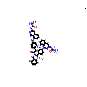 CCNC(=O)Nc1cc2cccc(Nc3ccc(CC(=O)N(Cc4ccccc4)C(C(=O)O)c4cccc(Nc5cccc6cc(NC(=O)NCC)ncc56)c4)cc3)c2cn1